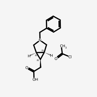 CC(=O)Cl.O=C(O)C[C@H]1[C@H]2CN(Cc3ccccc3)C[C@@H]12